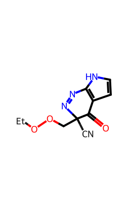 CCOOCC1(C#N)N=Nc2[nH]ccc2C1=O